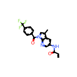 C=CC(=O)Nc1cnc2c(c1)c(C)cn2C(=O)c1ccc(C(F)(F)F)cc1